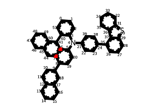 c1ccc(N(c2ccc(-c3ccc4ccccc4c3)cc2)c2ccc(-c3cccc4sc5ccccc5c34)cc2)c(-c2cccc3ccccc23)c1